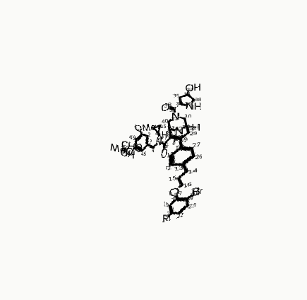 COc1cc(CN(C(=O)C2=C(c3ccc(CCCOc4cc(F)ccc4Br)cc3)C[C@@H]3CN(C(=O)[C@@H]4C[C@@H](O)CN4)C[C@H]2N3)C2CC2)cc(OC)c1.O=CO